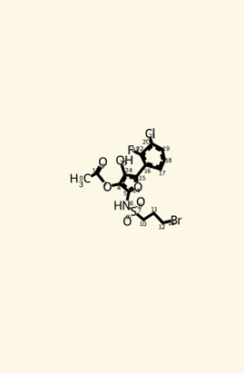 CC(=O)Oc1c(NS(=O)(=O)CCCBr)oc(-c2cccc(Cl)c2F)c1O